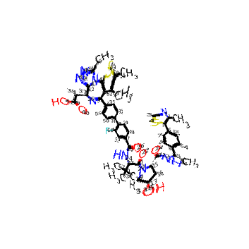 Cc1ncsc1-c1ccc([C@H](C)NC(=O)[C@@H]2C[C@@H](O)CN2C(=O)[C@@H](NC(=O)c2ccc(-c3ccc(C4=N[C@@H](CC(=O)O)c5nnc(C)n5-c5sc(C)c(C)c54)cc3)c(F)c2)C(C)(C)C)cc1